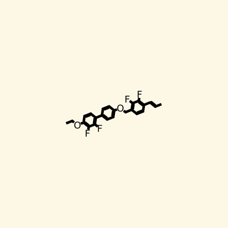 C/C=C/c1ccc(COc2ccc(-c3ccc(OCC)c(F)c3F)cc2)c(F)c1F